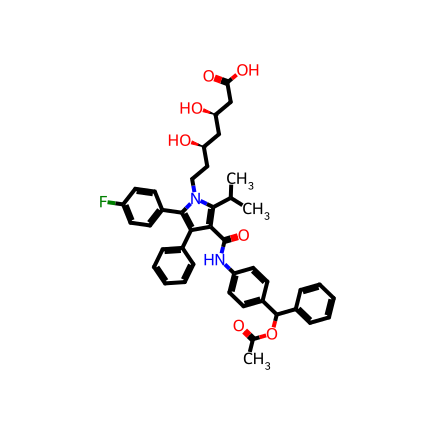 CC(=O)OC(c1ccccc1)c1ccc(NC(=O)c2c(-c3ccccc3)c(-c3ccc(F)cc3)n(CC[C@@H](O)C[C@@H](O)CC(=O)O)c2C(C)C)cc1